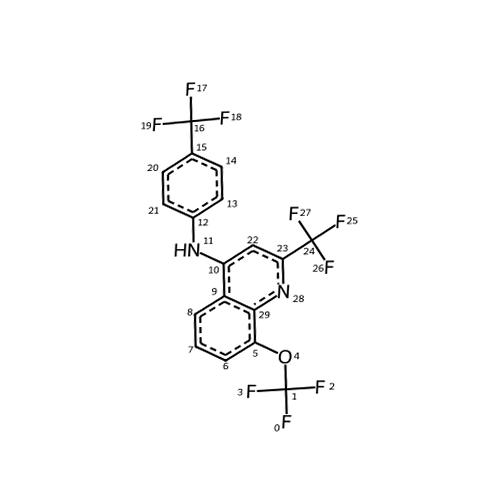 FC(F)(F)Oc1cccc2c(Nc3ccc(C(F)(F)F)cc3)cc(C(F)(F)F)nc12